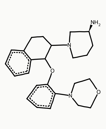 N[C@H]1CCCN(C2CCc3ccccc3C2Oc2ccccc2N2CCOCC2)C1